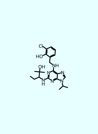 CCC(Nc1nc(NCc2cccc(Cl)c2O)c2ncn(C(C)C)c2n1)C(C)(C)O